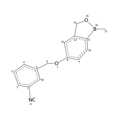 [C-]#[N+]c1cccc(COc2ccc3c(c2)COB3C)c1